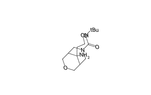 CC(C)(C)OC(=O)N1CC2COCC(C1)C2(N)CCO